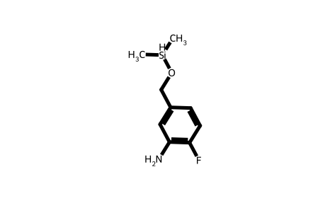 C[SiH](C)OCc1ccc(F)c(N)c1